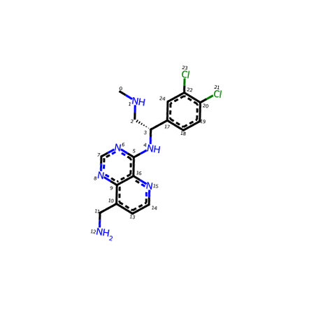 CNC[C@@H](Nc1ncnc2c(CN)ccnc12)c1ccc(Cl)c(Cl)c1